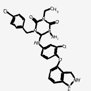 CCN1C(=O)N(N)C(Nc2ccc(Oc3cccc4c3CNN4)c(Cl)c2)N(Cc2ccc(Cl)cc2)C1=O